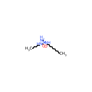 CCCCCCCCCC(=O)NN(CN)C(=O)NCCCCCC